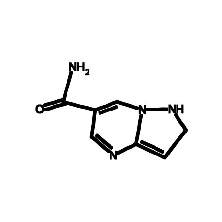 NC(=O)C1=CN2NCC=C2N=C1